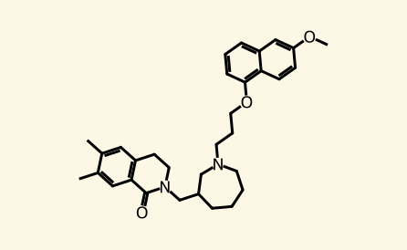 COc1ccc2c(OCCCN3CCCCC(CN4CCc5cc(C)c(C)cc5C4=O)C3)cccc2c1